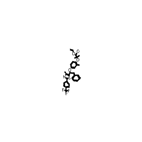 CCOC(=O)C(C)(C)Oc1ccc(OC(Cc2ccccc2)c2sc(-c3ccc(C(F)(F)F)cc3)nc2C)cc1C